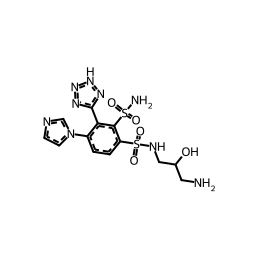 NCC(O)CNS(=O)(=O)c1ccc(-n2ccnc2)c(-c2nn[nH]n2)c1S(N)(=O)=O